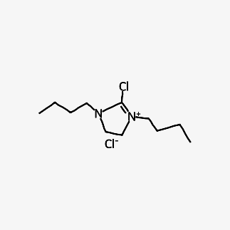 CCCCN1CC[N+](CCCC)=C1Cl.[Cl-]